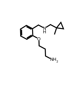 CC1(CNCc2ccccc2OCCCN)CC1